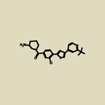 CC(C)(C)c1cc(-c2csc(-c3ccc(C(=O)N4CCCC(N)C4)cc3Cl)c2)ccn1